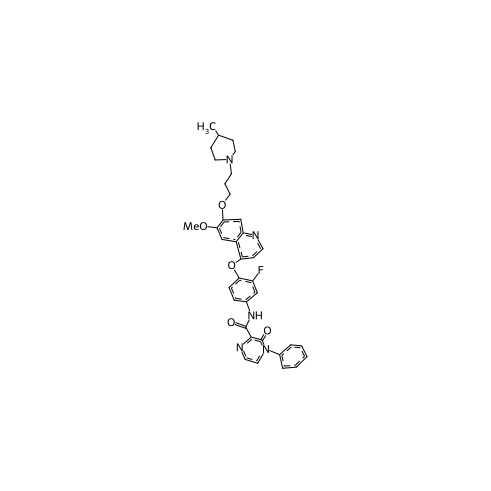 COc1cc2c(Oc3ccc(NC(=O)c4nccn(-c5ccccc5)c4=O)cc3F)ccnc2cc1OCCCN1CCC(C)CC1